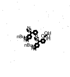 CCCCn1nnc2ccc(C(c3ccccc3)n3ccnc3)cc21.CCCCn1nnc2ccc(C(c3ccccc3)n3ccnc3)cc21.O=C(O)C(=O)O